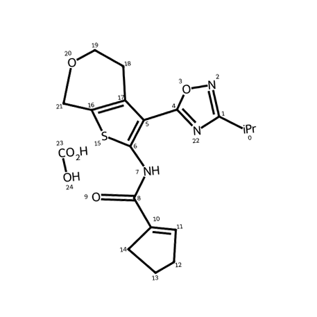 CC(C)c1noc(-c2c(NC(=O)C3=CCCC3)sc3c2CCOC3)n1.O=C(O)O